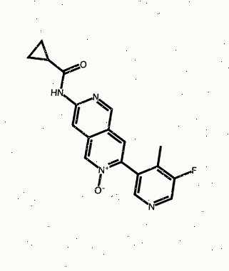 Cc1c(F)cncc1-c1cc2cnc(NC(=O)C3CC3)cc2c[n+]1[O-]